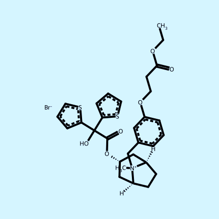 CCOC(=O)CCOc1cccc(C[N+]2(C)[C@@H]3CC[C@H]2C[C@H](OC(=O)C(O)(c2cccs2)c2cccs2)C3)c1.[Br-]